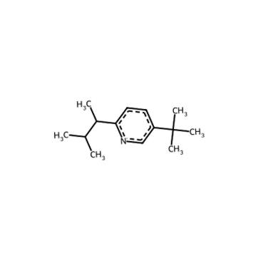 CC(C)C(C)c1ccc(C(C)(C)C)cn1